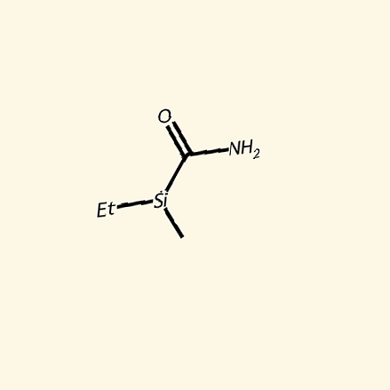 CC[Si](C)C(N)=O